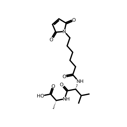 CC(C)[C@@H](NC(=O)CCCCCN1C(=O)C=CC1=O)C(=O)N[C@H](C)C(=O)O